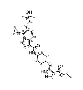 CCOC(=O)c1cn[nH]c1O[C@H]1CC[C@H](NC(=O)c2cnn3c(C4CC4)c(OCC(C)(C)O)ccc23)CC1